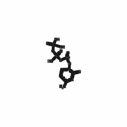 Nc1ccn(O[PH](=O)OP(=O)(O)OP(=O)(O)O)c(=O)n1